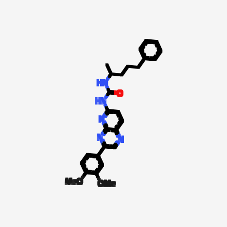 COc1ccc(-c2cnc3ccc(NC(=O)NC(C)CCCc4ccccc4)nc3n2)cc1OC